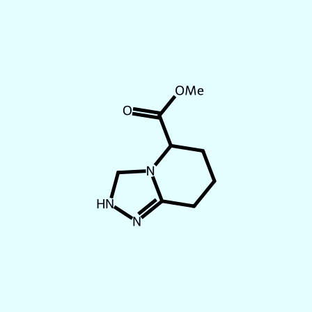 COC(=O)C1CCCC2=NNCN21